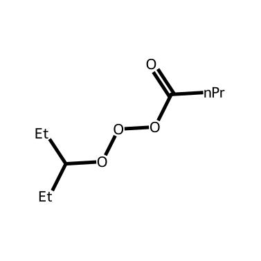 CCCC(=O)OOOC(CC)CC